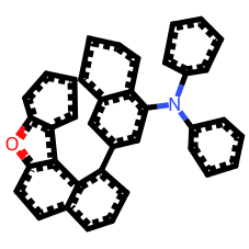 c1ccc(N(c2ccccc2)c2cc(-c3cccc4ccc5oc6ccccc6c5c34)cc3ccccc23)cc1